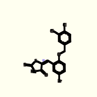 O=C1NC(=S)S/C1=C/c1cc(Br)ccc1OCc1ccc(Cl)c(Cl)c1